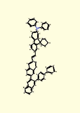 C(=C\c1ccc2cc(-c3cc4ccccc4cc3-c3ccc(-c4ccccc4)cc3)ccc2c1)/c1ccc2c(c1)C1(CCCCC1)c1cc(N(c3ccccc3)c3ccccc3)ccc1-2